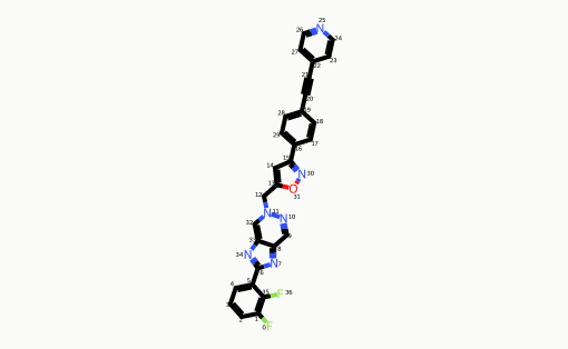 Fc1cccc(-c2nc3cnn(Cc4cc(-c5ccc(C#Cc6ccncc6)cc5)no4)cc-3n2)c1F